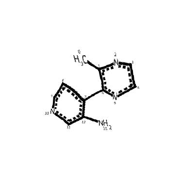 Cc1nccnc1-c1ccncc1N